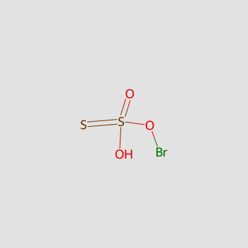 O=S(O)(=S)OBr